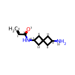 C=CC(=O)NC1CC2(CC(N)C2)C1